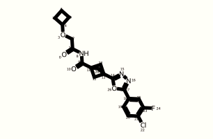 O=C(COC1CCC1)NC(=O)C12CC(c3nnc(-c4ccc(Cl)c(F)c4)o3)(C1)C2